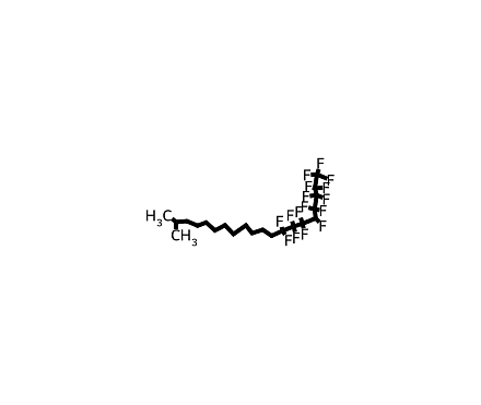 CC(C)CCCCCCCCCCC(F)(F)C(F)(F)C(F)(F)C(F)C(F)(F)C(F)(F)C(F)(F)C(F)(F)F